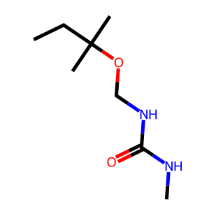 CCC(C)(C)OCNC(=O)NC